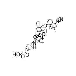 Cc1cc(-n2ccnc2)c2cccc(OCc3c(Cl)ccc(S(=O)(=O)N4CCC[C@H]4C(=O)NCC4CCN(C(=O)CC(=O)O)CC4)c3Cl)c2n1